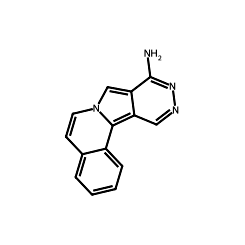 Nc1nncc2c1cn1ccc3ccccc3c21